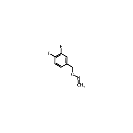 C=NOCc1ccc(F)c(F)c1